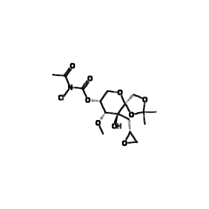 CO[C@@H]1[C@H](OC(=O)N(Cl)C(C)=O)CO[C@]2(COC(C)(C)O2)[C@]1(O)C[C@@H]1CO1